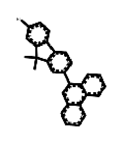 CC1(C)c2cc(Br)ccc2-c2ccc(-c3cc4ccccc4c4ccccc34)cc21